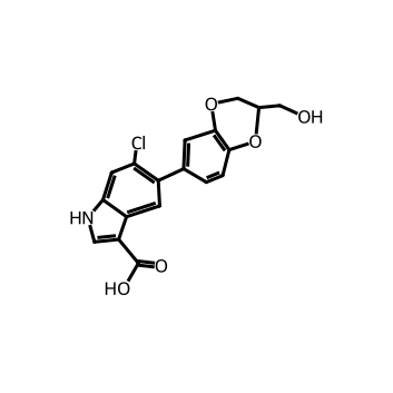 O=C(O)c1c[nH]c2cc(Cl)c(-c3ccc4c(c3)OCC(CO)O4)cc12